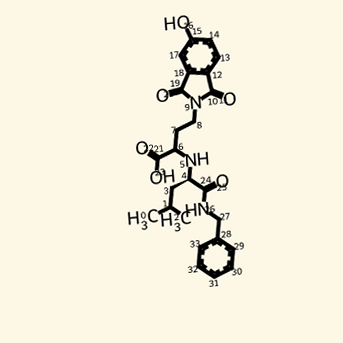 CC(C)C[C@@H](NC(CCN1C(=O)c2ccc(O)cc2C1=O)C(=O)O)C(=O)NCc1ccccc1